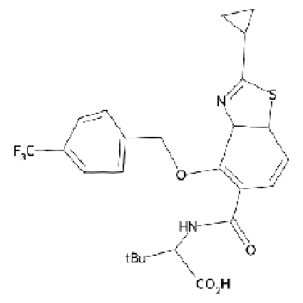 CC(C)(C)C(NC(=O)C1=C(OCc2ccc(C(F)(F)F)cc2)C2N=C(C3CC3)SC2C=C1)C(=O)O